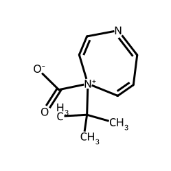 CC(C)(C)[N+]1(C(=O)[O-])C=CC=NC=C1